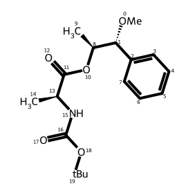 CO[C@H](c1ccccc1)[C@H](C)OC(=O)[C@H](C)NC(=O)OC(C)(C)C